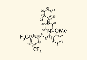 COc1ccccc1C([CH]Cc1cc(C(F)(F)F)cc(C(F)(F)F)c1)N1CCN(c2ccccc2C)CC1